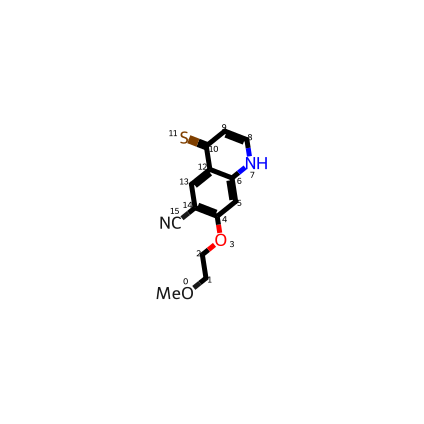 COCCOc1cc2[nH]ccc(=S)c2cc1C#N